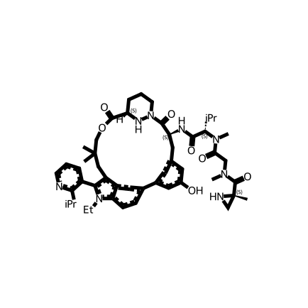 CCn1c(-c2cccnc2C(C)C)c2c3cc(ccc31)-c1cc(O)cc(c1)C[C@H](NC(=O)[C@H](C(C)C)N(C)C(=O)CN(C)C(=O)[C@]1(C)CN1)C(=O)N1CCC[C@H](N1)C(=O)OCC(C)(C)C2